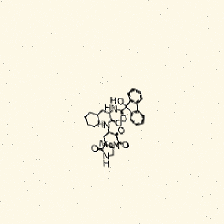 CNC(=O)C(=O)C(CC1CCNC1=O)NC(=O)C(CC1CCCCC1)NC(=O)C1(O)c2ccccc2-c2ccccc21